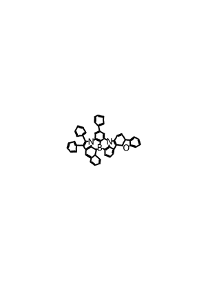 C1=CC2=Cc3c(-c4ccccc4)c(-c4ccccc4)n4c3C(B3c5c-4cc(-c4ccccc4)cc5-n4c5c(c6cccc3c64)C3Oc4ccccc4C3C=C5)C2C=C1